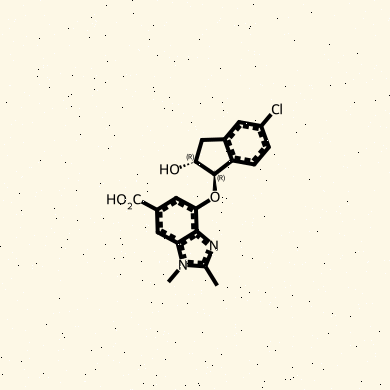 Cc1nc2c(O[C@@H]3c4ccc(Cl)cc4C[C@H]3O)cc(C(=O)O)cc2n1C